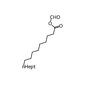 CCCCCCCCCCCCCCCC(=O)OC=O